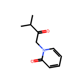 CC(C)C(=O)Cn1ccccc1=O